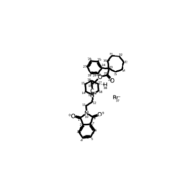 O=C1c2ccccc2C(=O)N1CC[N+]12CCC(CC1)[C@@H](OC(=O)C1(c3ccccc3)CCCCCC1)C2.[Br-]